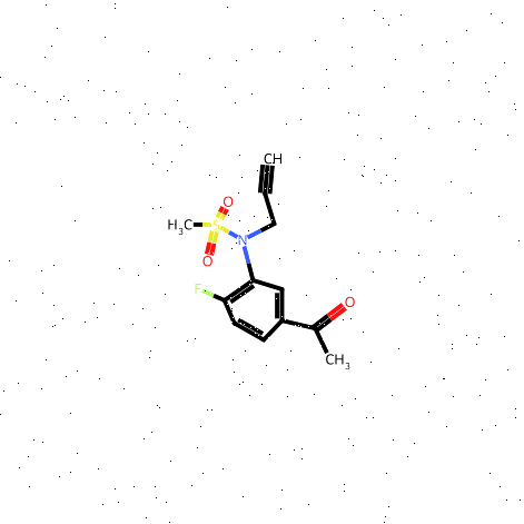 C#CCN(c1cc(C(C)=O)ccc1F)S(C)(=O)=O